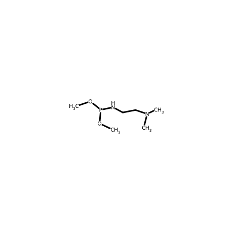 COP(NCCN(C)C)OC